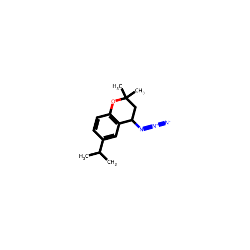 CC(C)c1ccc2c(c1)C(N=[N+]=[N-])CC(C)(C)O2